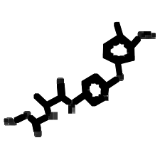 COc1cc(Oc2ccc(NC(=O)C(C)NC(=O)OC(C)(C)C)cn2)ccc1C